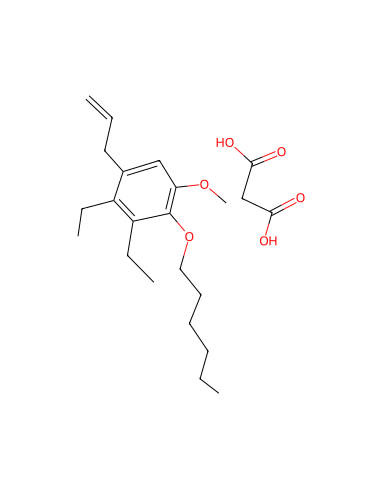 C=CCc1cc(OC)c(OCCCCCC)c(CC)c1CC.O=C(O)CC(=O)O